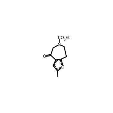 CCOC(=O)N1CCc2oc(C)cc2C(=O)C1